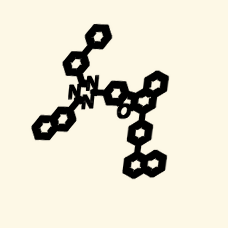 c1ccc(-c2cccc(-c3nc(-c4ccc5ccccc5c4)nc(-c4ccc5c(c4)oc4c(-c6ccc(-c7cccc8ccccc78)cc6)cc6ccccc6c45)n3)c2)cc1